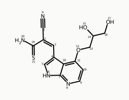 N#CC(=Cc1c[nH]c2nccc(OCC(O)CO)c12)C(N)=S